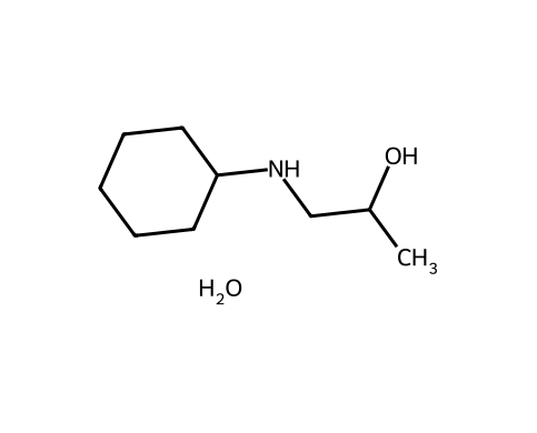 CC(O)CNC1CCCCC1.O